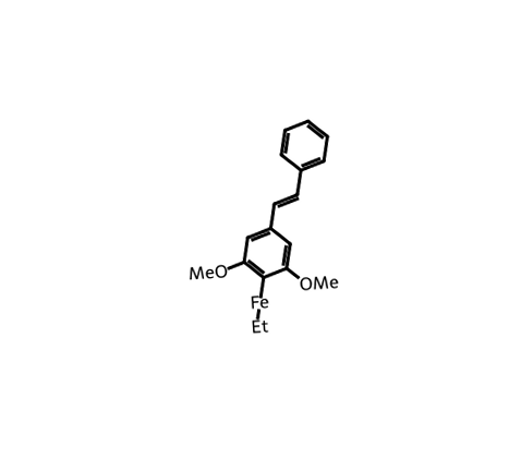 C[CH2][Fe][c]1c(OC)cc(C=Cc2ccccc2)cc1OC